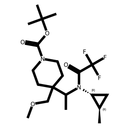 COCC1(C(C)N(C(=O)C(F)(F)F)[C@@H]2C[C@H]2C)CCN(C(=O)OC(C)(C)C)CC1